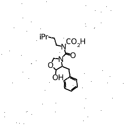 CC(C)CCN(C(=O)O)C(=O)N1COC(O)C1Cc1ccccc1